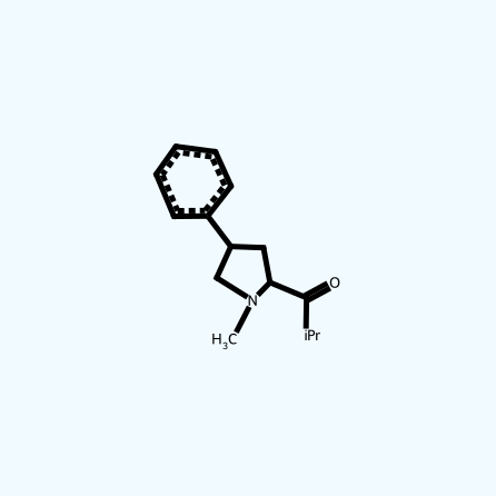 CC(C)C(=O)C1CC(c2ccccc2)CN1C